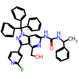 CC(NC(=O)Nc1cc2c(c(CO)n1)c(-c1ccnc(F)c1)nn2C(c1ccccc1)(c1ccccc1)c1ccccc1)c1ccccc1